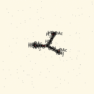 CC(=O)OCC1CC(O)C(N)C(OCCOCCOCCNC(=O)CCOCC(C)(COCCC(=O)NCCOCCOCCOC2OC(COC(C)=O)CC(O)C2N)COCCC(=O)NCCOCCOCCOC2OC(COC(C)=O)C(O)C(O)C2N)O1